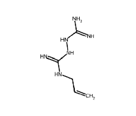 C=CCNC(=N)NNC(=N)N